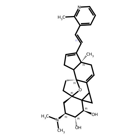 Cc1ncccc1/C=C/C1=CCC2[C@]1(C)CC=C1C3CC34[C@@H](O)[C@H](O)[C@@H](N(C)C)C[C@]43CC[C@@]12O3